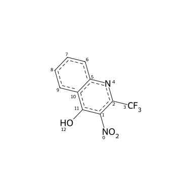 O=[N+]([O-])c1c(C(F)(F)F)nc2ccccc2c1O